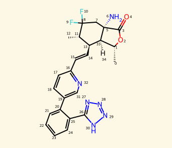 C[C@H]1OC(=O)[C@]2(N)CC(F)(F)[C@@H](C)[C@H](/C=C/c3ccc(-c4ccccc4-c4nnn[nH]4)cn3)[C@H]12